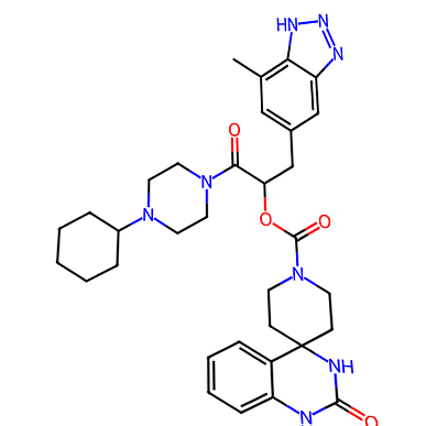 Cc1cc(CC(OC(=O)N2CCC3(CC2)NC(=O)Nc2ccccc23)C(=O)N2CCN(C3CCCCC3)CC2)cc2nn[nH]c12